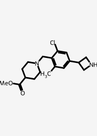 COC(=O)C1CCN(Cc2c(C)cc(C3CNC3)cc2Cl)CC1